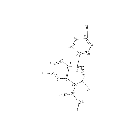 COC(=O)N(c1cc(C)ccc1C(=O)c1ccc(F)cc1)C(C)C